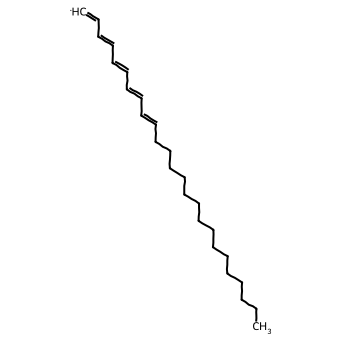 [CH]=CC=CC=CC=CC=CCCCCCCCCCCCCCCC